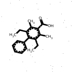 CCc1c(C)c(C(=O)O)c(C)c(CC)c1-c1ccccc1